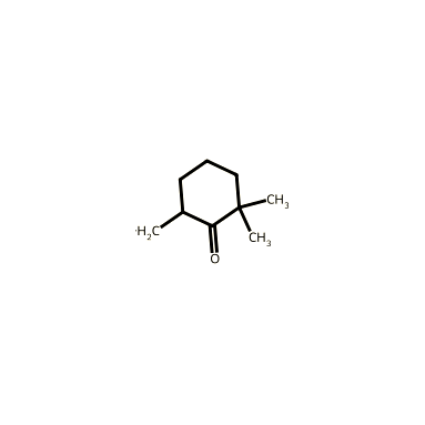 [CH2]C1CCCC(C)(C)C1=O